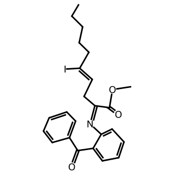 CCCCC/C(I)=C/CC(=Nc1ccccc1C(=O)c1ccccc1)C(=O)OC